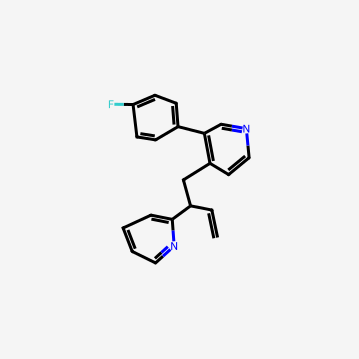 C=CC(Cc1ccncc1-c1ccc(F)cc1)c1ccccn1